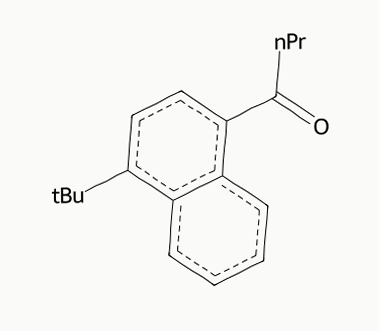 CCCC(=O)c1ccc(C(C)(C)C)c2ccccc12